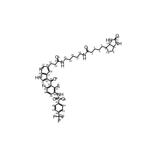 O=C(CCCCC1SCC2NC(=O)NC21)NCCCCCNC(=O)CCc1cnc2[nH]cc(C(=O)c3c(F)ccc(NS(=O)(=O)c4ccc(C(F)(F)F)cc4)c3F)c2c1